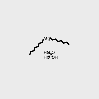 CCCCCCC[CH2][Mg][CH2]CCCCCCC.O=P(O)(O)O